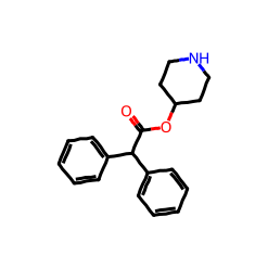 O=C(OC1CCNCC1)C(c1ccccc1)c1ccccc1